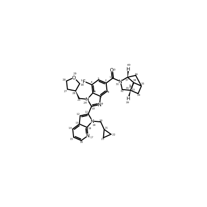 O=C(c1cc(F)c2c(c1)nc(-c1cc3cccnc3n1CC1CC1)n2C[C@H]1CCOC1)N1C[C@H]2CC3C[C@@H]1[C@H]32